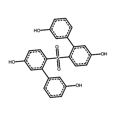 O=S(=O)(c1ccc(O)cc1-c1cccc(O)c1)c1ccc(O)cc1-c1cccc(O)c1